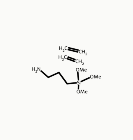 C=C.C=C.CO[Si](CCCN)(OC)OC